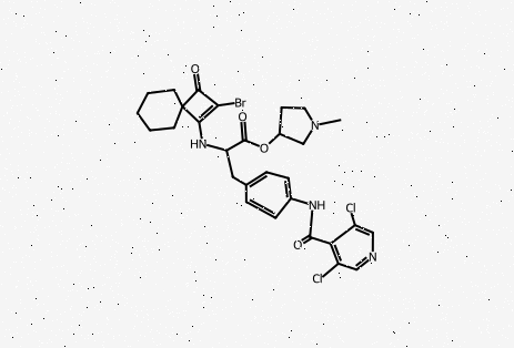 CN1CCC(OC(=O)C(Cc2ccc(NC(=O)c3c(Cl)cncc3Cl)cc2)NC2=C(Br)C(=O)C23CCCCC3)C1